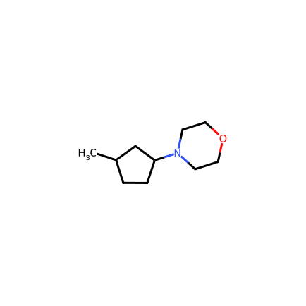 CC1CCC(N2CCOCC2)C1